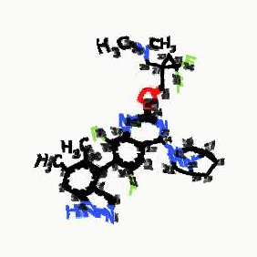 Cc1cc2[nH]ncc2c(-c2c(F)cc3c(N4CC5CCC(C4)N5)nc(OCC4(CN(C)C)CC4(F)F)nc3c2F)c1C